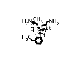 C=Cc1ccccc1.CCO[Si](CCCN)(OCC)OCC(C)(C)N